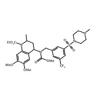 CCOC(=O)N1c2cc(OC)c(OC)cc2C(N(Cc2cc(C(F)(F)F)cc(S(=O)(=O)N3CCN(C)CC3)c2)C(=O)OC)CC1C